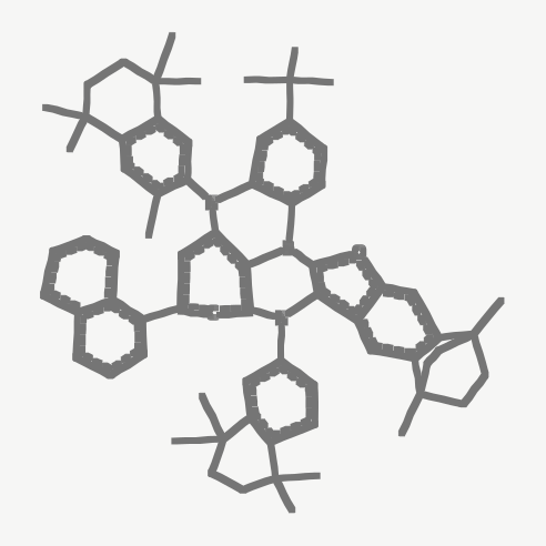 Cc1cc2c(cc1N1c3cc(C(C)(C)C)ccc3B3c4oc5cc6c(cc5c4N(c4ccc5c(c4)C(C)(C)CCC5(C)C)c4cc(-c5cccc7ccccc57)cc1c43)C1(C)CCC6(C)CC1)C(C)(C)CCC2(C)C